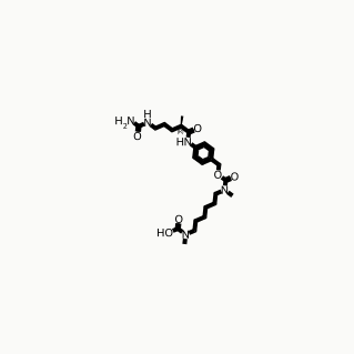 C[C@H](CCCNC(N)=O)C(=O)Nc1ccc(COC(=O)N(C)CCCCCCN(C)C(=O)O)cc1